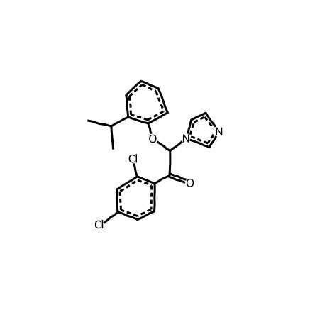 CC(C)c1ccccc1OC(C(=O)c1ccc(Cl)cc1Cl)n1ccnc1